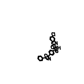 O=S(=O)(Nc1nc2cc(Cl)ccc2s1)c1ccc(-c2ncc(-c3ccccc3)o2)cc1